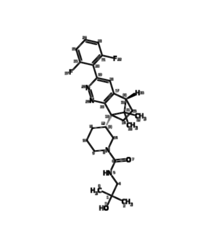 CC(C)(O)CNC(=O)N1CCC[C@H](C23CC[C@@H](c4cc(-c5c(F)cccc5F)nnc42)C3(C)C)C1